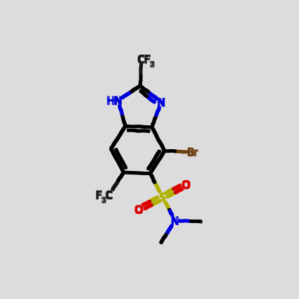 CN(C)S(=O)(=O)c1c(C(F)(F)F)cc2[nH]c(C(F)(F)F)nc2c1Br